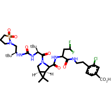 CC(C)(C)[C@H](NC(=O)N[C@H](CN1CCCS1(=O)=O)C(C)(C)C)C(=O)N1C[C@H]2[C@@H](C1C(=O)NC(CC(F)F)C(=O)NCCc1ccc(C(=O)O)cc1Cl)C2(C)C